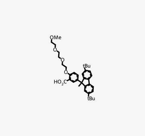 COCCOCCOCCOc1ccc(C2(C)c3cc(C(C)(C)C)ccc3-c3ccc(C(C)(C)C)cc32)cc1C(=O)O